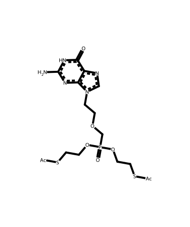 CC(=O)SCCOP(=O)(COCCn1cnc2c(=O)[nH]c(N)nc21)OCCSC(C)=O